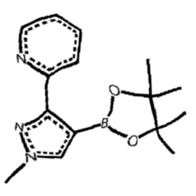 Cn1cc(B2OC(C)(C)C(C)(C)O2)c(-c2ccccn2)n1